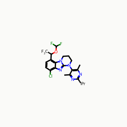 Cc1nc(C(C)C)nc(C)c1N1CCCn2c1nc1c(Cl)ccc(C(OC(F)F)C(F)(F)F)c12